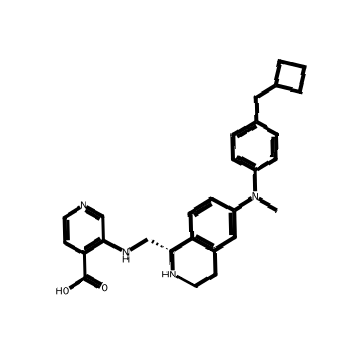 CN(c1ccc(CC2CCC2)cc1)c1ccc2c(c1)CCN[C@@H]2CNc1cnccc1C(=O)O